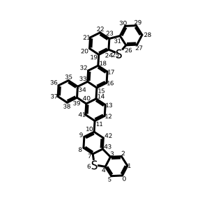 c1ccc2c(c1)sc1ccc(-c3ccc4c5ccc(-c6cccc7c6sc6ccccc67)cc5c5ccccc5c4c3)cc12